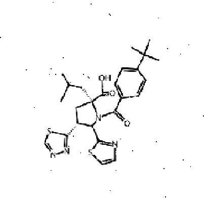 CC(C)C[C@@]1(C(=O)O)C[C@@H](c2nncs2)[C@H](c2nccs2)N1C(=O)c1ccc(C(C)(C)C)cc1